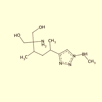 CBn1cc(C(C)CC(C)C(N)(CO)CO)nn1